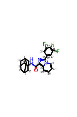 O=C(NC12CC3CC(CC(C3)C1)C2)c1nc(-c2cc(F)c(F)c(F)c2)n2ccccc12